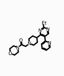 CCc1ncc(-c2ccccn2)c(C2CCN(CC(=O)N3CCOCC3)CC2)n1